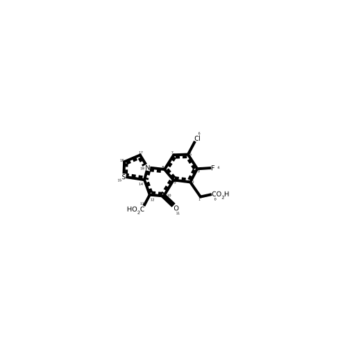 O=C(O)Cc1c(F)c(Cl)cc2c1c(=O)c(C(=O)O)c1sccn12